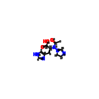 CC(=O)N([C@@H](Cc1c[nH]cn1)C(=O)O)N1C=NCC1